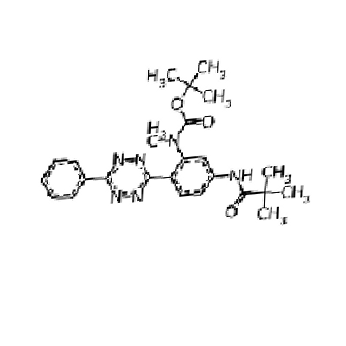 CN(C(=O)OC(C)(C)C)c1cc(NC(=O)C(C)(C)C)ccc1-c1nnc(-c2ccccc2)nn1